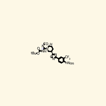 CCCCCCCCCc1ccc(-c2noc([C@@H]3CCCN(/C(=N\C(=O)O)NC(=O)OC(C)(C)C)C3)n2)cc1C(F)(F)F